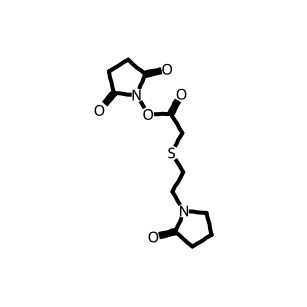 O=C(CSCCN1CCCC1=O)ON1C(=O)CCC1=O